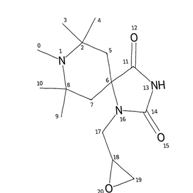 CN1C(C)(C)CC2(CC1(C)C)C(=O)NC(=O)N2CC1CO1